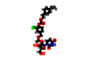 CC(OCc1ccc(OC(=O)OCCc2ccc([N+](=O)[O-])cc2)c(Cl)c1)OC1C(O)[C@H](CO)O[C@@H]1n1ccc(=O)[nH]c1=O